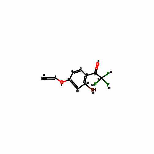 B=COc1ccc(C(=O)C(F)(F)F)c(S)c1